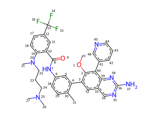 COc1c(-c2cc(NC(=O)c3cc(C(F)(F)F)ccc3N(C)CCCN(C)C)ccc2C)cc2cnc(N)nc2c1-c1cccnc1